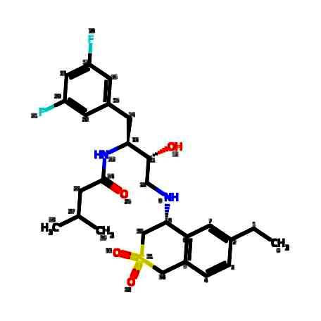 CCc1ccc2c(c1)[C@@H](NC[C@@H](O)[C@H](Cc1cc(F)cc(F)c1)NC(=O)CC(C)C)CS(=O)(=O)C2